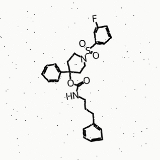 O=C(NCCCc1ccccc1)OC1(c2ccccc2)CCN(S(=O)(=O)c2cccc(F)c2)CC1